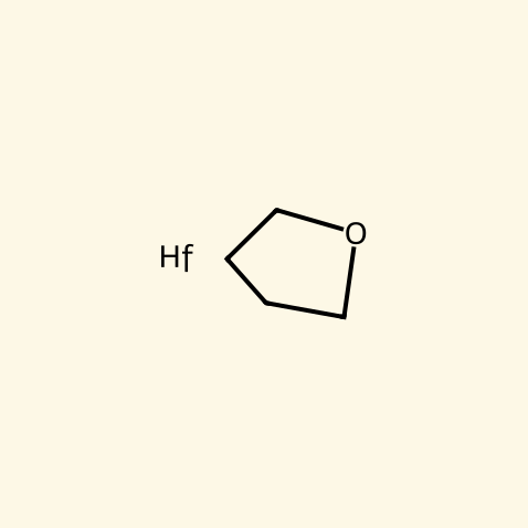 C1CCOC1.[Hf]